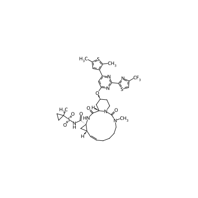 Cc1cc(-c2cc(O[C@H]3CCN4C(=O)N(C)CCCC/C=C\[C@@H]5C[C@@]5(C(=O)NS(=O)(=O)C5(C)CC5)NC(=O)[C@@H]4C3)nc(-c3nc(C(F)(F)F)cs3)n2)c(C)s1